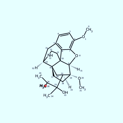 COc1ccc2c3c1O[C@@H]1C34CCN[C@H](C2)[C@]42CC[C@@]1(OC)[C@@H](C(C)(O)C(C)(C)C)C2